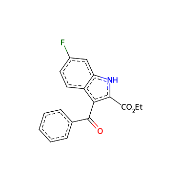 CCOC(=O)c1[nH]c2cc(F)ccc2c1C(=O)c1ccccc1